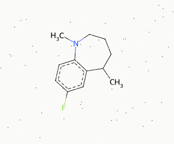 CC1CCCN(C)c2ccc(F)cc21